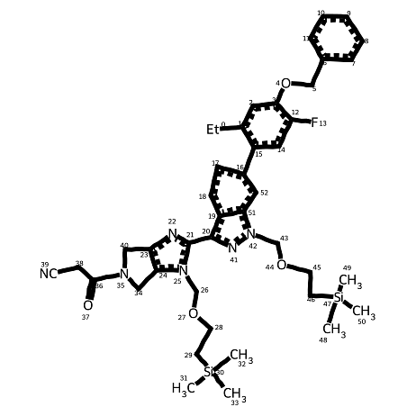 CCc1cc(OCc2ccccc2)c(F)cc1-c1ccc2c(-c3nc4c(n3COCC[Si](C)(C)C)CN(C(=O)CC#N)C4)nn(COCC[Si](C)(C)C)c2c1